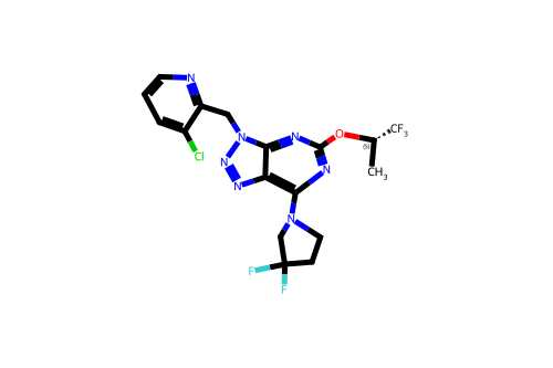 C[C@H](Oc1nc(N2CCC(F)(F)C2)c2nnn(Cc3ncccc3Cl)c2n1)C(F)(F)F